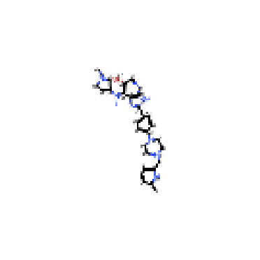 Cc1cccc(CN2CCN(c3ccc(-c4nc5c(NC6CCN(C)C6)c(Br)cnc5[nH]4)cc3)CC2)n1